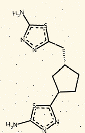 Nc1nnc(C[C@@H]2CCC(c3nnc(N)s3)C2)s1